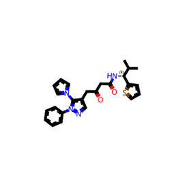 CC(C)[C@@H](NC(=O)CC(=O)Cc1cnn(-c2ccccc2)c1-n1cccc1)c1cccs1